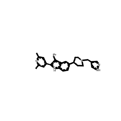 Cc1cc(-c2[nH]c3ccc(C4CCN(Cc5cn[nH]c5)CC4)cc3c2C(C)C)cc(C)n1